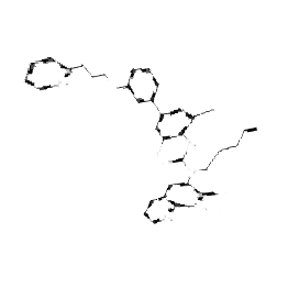 C=CCCCN(C(=O)Nc1c(C(C)C)cc(-c2cccc(OCCCc3ccccn3)c2)cc1C(C)C)c1cc2cccnc2[nH]c1=O